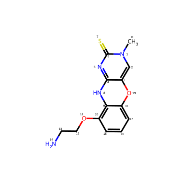 Cn1cc2c(nc1=S)Nc1c(OCCN)cccc1O2